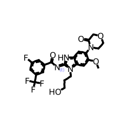 COc1cc2c(cc1N1CCOCC1=O)[nH]/c(=N\C(=O)c1cc(F)cc(C(F)(F)F)c1)n2CCCO